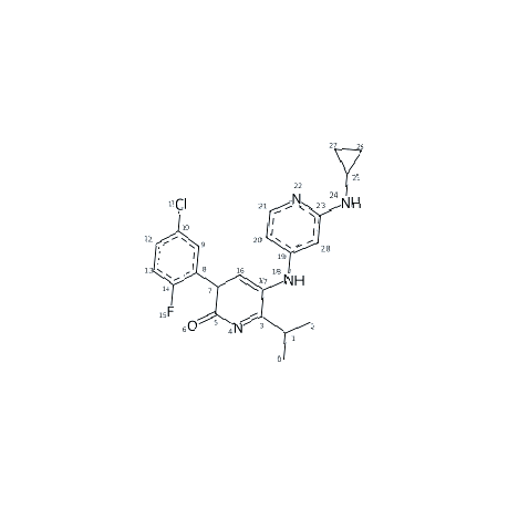 CC(C)C1=NC(=O)C(c2cc(Cl)ccc2F)C=C1Nc1ccnc(NC2CC2)c1